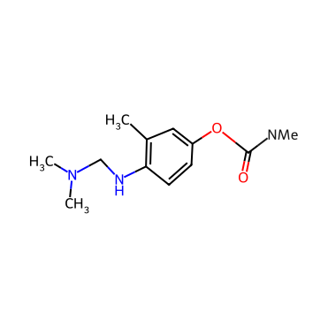 CNC(=O)Oc1ccc(NCN(C)C)c(C)c1